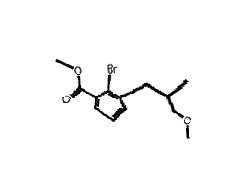 COCC(C)Cc1cccc(C(=O)OC)c1Br